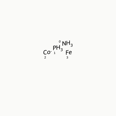 N.P.[Co].[Fe]